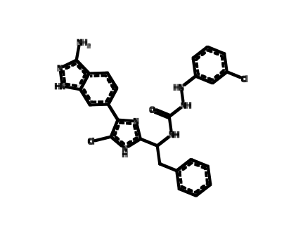 Nc1n[nH]c2cc(-c3nc(C(Cc4ccccc4)NC(=O)NNc4cccc(Cl)c4)[nH]c3Cl)ccc12